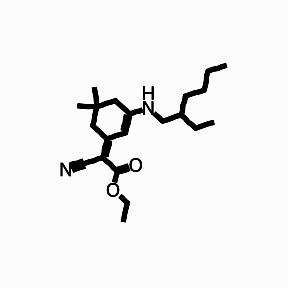 CCCCC(CC)CNC1=C/C(=C(/C#N)C(=O)OCC)CC(C)(C)C1